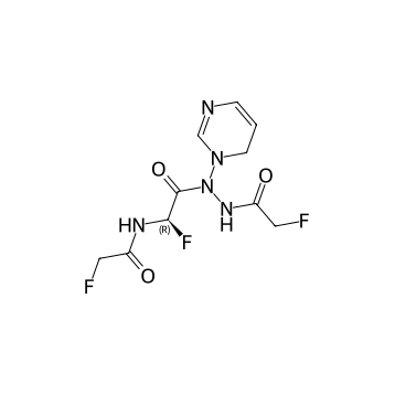 O=C(CF)N[C@H](F)C(=O)N(NC(=O)CF)N1C=NC=CC1